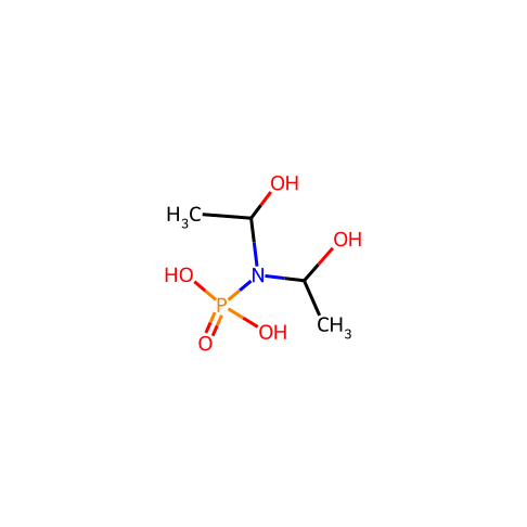 CC(O)N(C(C)O)P(=O)(O)O